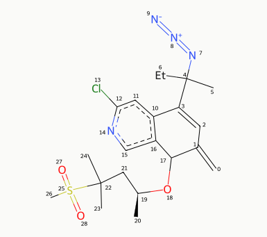 C=C1C=C(C(C)(CC)N=[N+]=[N-])c2cc(Cl)ncc2C1O[C@@H](C)CC(C)(C)S(C)(=O)=O